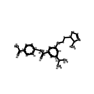 CC1N=CSC1CCOc1cc(C(=O)Nc2ccc(C(=O)O)cn2)cc(N(C)C)c1